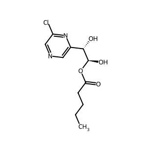 CCCCC(=O)O[C@H](O)[C@@H](O)c1cncc(Cl)n1